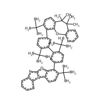 BC(B)(B)c1ccc(-c2c(C(B)(B)B)ccc3c2Oc2ncccc2C(C)(C)C3(C)C)cc1-c1cc(-c2c(C(B)(B)B)ccc3c2oc2nc4ccccc4n23)ccc1C(B)(B)B